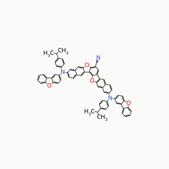 CC(C)c1ccc(N(c2ccc3cc4c(cc3c2)oc2c4cc(C#N)c3oc4cc5cc(N(c6ccc(C(C)C)cc6)c6ccc7oc8ccccc8c7c6)ccc5cc4c32)c2ccc3oc4ccccc4c3c2)cc1